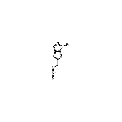 CCn1ncc2sc(CN=[N+]=[N-])cc21